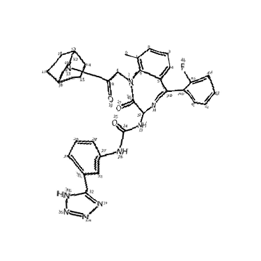 Cc1cccc2c1N(CC(=O)N1CC3CCC(CC3)C1)C(=O)C(NC(=O)Nc1cccc(-c3nnn[nH]3)c1)N=C2c1ccccc1F